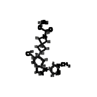 Cn1cc(-n2ncc3cc(Cl)c(C4CC5(C4)CN(C(=O)OC(C)(C)C)C5)cc32)cn1